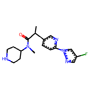 CC(C(=O)N(C)C1CCNCC1)c1ccc(-n2cc(F)cn2)nc1